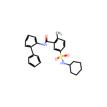 Cc1ccc(S(=O)(=O)NC2CCCCC2)cc1C(=O)Nc1ccccc1-c1ccccc1